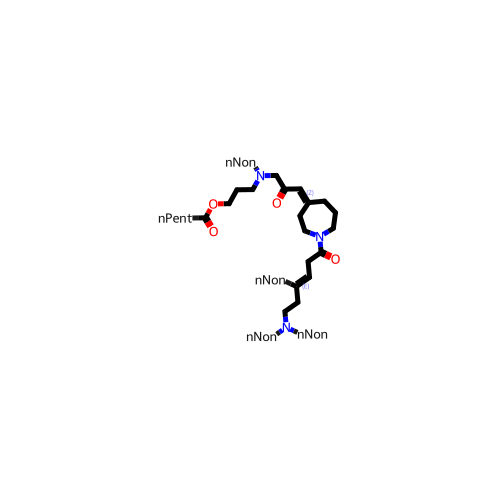 CCCCCCCCC/C(=C\CC(=O)N1CCC/C(=C/C(=O)CN(CCCCCCCCC)CCCOC(=O)CCCCC)CC1)CCN(CCCCCCCCC)CCCCCCCCC